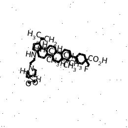 C=C(C)[C@@H]1CC[C@]2(NCCN3C[C@@H]4C[C@H]3CS4(=O)=O)CC[C@]3(C)[C@H](CC[C@@H]4[C@@]5(C)CC=C(C6=CCC(CF)(C(=O)O)CC6)C(C)(C)[C@@H]5CC[C@]43C)[C@@H]12